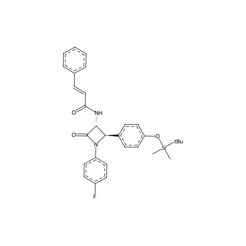 CC(C)(C)[Si](C)(C)Oc1ccc([C@@H]2[C@@H](NC(=O)C=Cc3ccccc3)C(=O)N2c2ccc(F)cc2)cc1